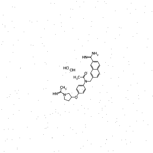 CC(=N)N1CCC(Oc2ccc(N(Cc3ccc4ccc(C(=N)N)cc4c3)C(C)=O)cc2)C1.Cl.Cl